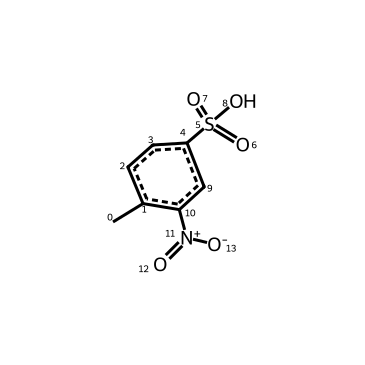 Cc1ccc(S(=O)(=O)O)cc1[N+](=O)[O-]